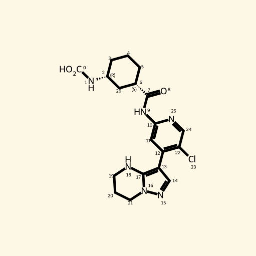 O=C(O)N[C@@H]1CCC[C@H](C(=O)Nc2cc(-c3cnn4c3NCCC4)c(Cl)cn2)C1